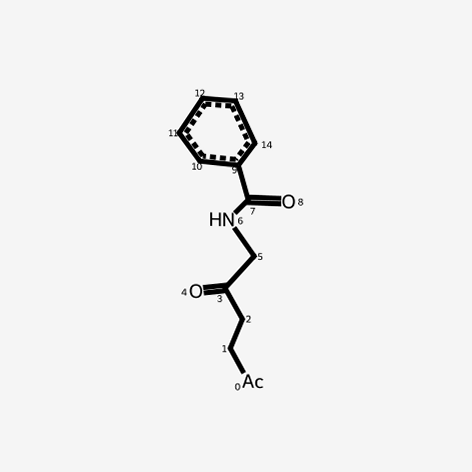 CC(=O)CCC(=O)CNC(=O)c1ccccc1